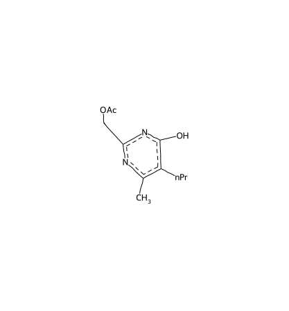 CCCc1c(C)nc(COC(C)=O)nc1O